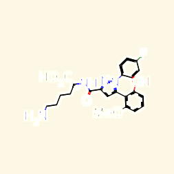 COc1cccc(O)c1-c1cc(C(=O)N[C@@H](CCCCN)C(=O)O)nn1C1=C=C=C(F)C=C1